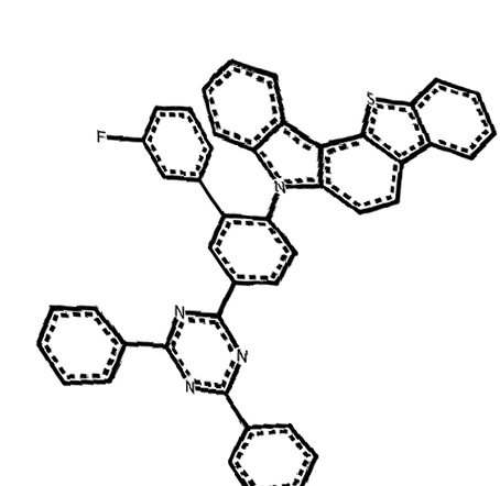 Fc1cccc(-c2cc(-c3nc(-c4ccccc4)nc(-c4ccccc4)n3)ccc2-n2c3ccccc3c3c4sc5ccccc5c4ccc32)c1